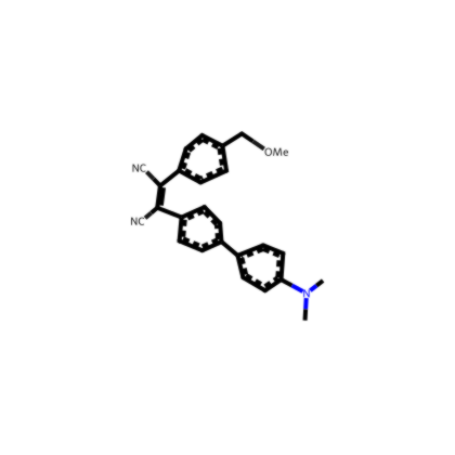 COCc1ccc(C(C#N)=C(C#N)c2ccc(-c3ccc(N(C)C)cc3)cc2)cc1